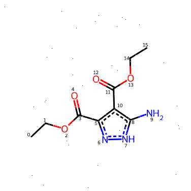 CCOC(=O)c1n[nH]c(N)c1C(=O)OCC